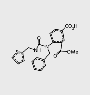 COC(=O)c1cc(C(=O)O)ccc1N(Cc1ccccc1)C(=O)NCc1cccs1